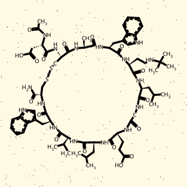 CC(=O)N[C@@H](CC(=O)O)C(=O)N[C@H]1CSSC[C@@H](C(N)=O)NC(=O)[C@H](Cc2c[nH]c3ccccc23)NC(=O)[C@H](C(C)C)NC(=O)[C@H](CC(C)C)NC(=O)[C@H](CCC(=O)O)NC(=O)CNC(=O)[C@H](CC(C)C)NC(=O)[C@H](CCNC(C)(C)C)NC(=O)[C@H](Cc2c[nH]c3ccccc23)NC(=O)[C@H](C)NC1=O